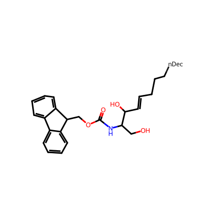 CCCCCCCCCCCCCC=CC(O)C(CO)NC(=O)OCC1c2ccccc2-c2ccccc21